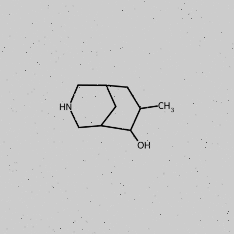 CC1CC2CNCC(C2)C1O